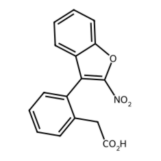 O=C(O)Cc1ccccc1-c1c([N+](=O)[O-])oc2ccccc12